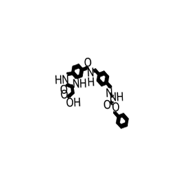 O=C(O)CC1Nc2cc(C(=O)NCc3ccc(C=NNC(=O)OCc4ccccc4)cc3)ccc2CNC1=O